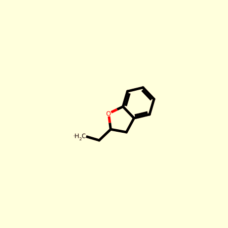 [CH2]CC1Cc2ccccc2O1